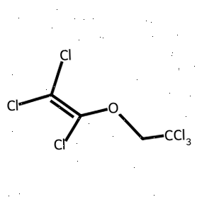 ClC(Cl)=C(Cl)OCC(Cl)(Cl)Cl